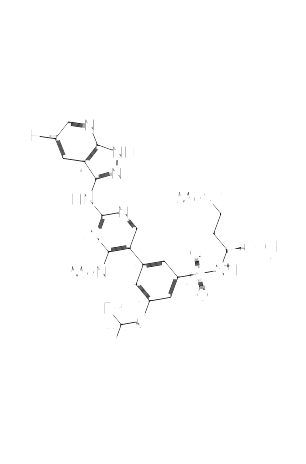 CNc1nc(Nc2n[nH]c3ncc(F)cc23)ncc1-c1cc(OC(F)F)cc(S(=O)(=O)N[C@@H](CCSC)C(=O)O)c1